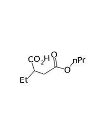 CCCOC(=O)CC(CC)C(=O)O